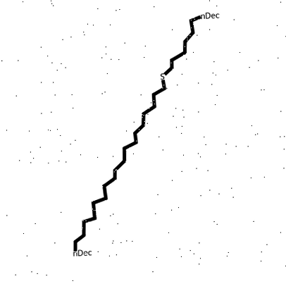 CCCCCCCCCCCCCCCCCCCCCCCCCCC[CH]SCCCCCCCCCCCCCCCC